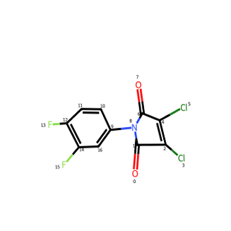 O=C1C(Cl)=C(Cl)C(=O)N1c1ccc(F)c(F)c1